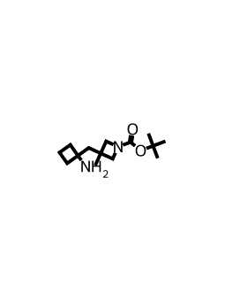 CC1(CC2(N)CCC2)CN(C(=O)OC(C)(C)C)C1